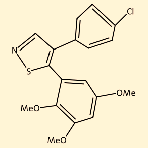 COc1cc(OC)c(OC)c(-c2sncc2-c2ccc(Cl)cc2)c1